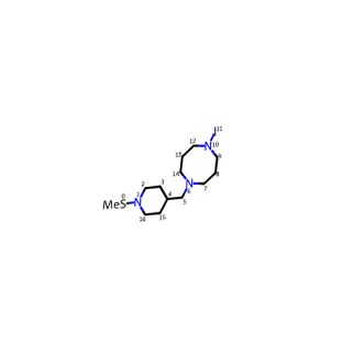 CSN1CCC(CN2CCCN(I)CCC2)CC1